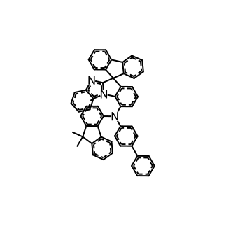 CC1(C)c2ccccc2-c2c(N(c3ccc(-c4ccccc4)cc3)c3cccc4c3-n3c(nc5ccccc53)C43c4ccccc4-c4ccccc43)cccc21